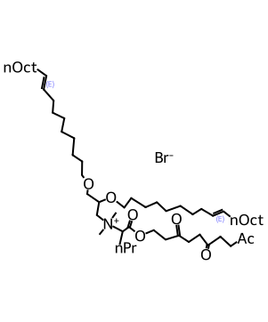 CCCCCCCC/C=C/CCCCCCCCOCC(C[N+](C)(C)C(CCC)C(=O)OCCC(=O)CCC(=O)CCC(C)=O)OCCCCCCCC/C=C/CCCCCCCC.[Br-]